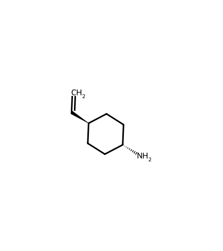 C=C[C@H]1CC[C@H](N)CC1